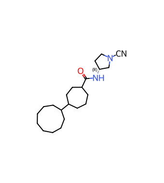 N#CN1CC[C@@H](NC(=O)C2CCCC(C3CCCCCCCC3)CC2)C1